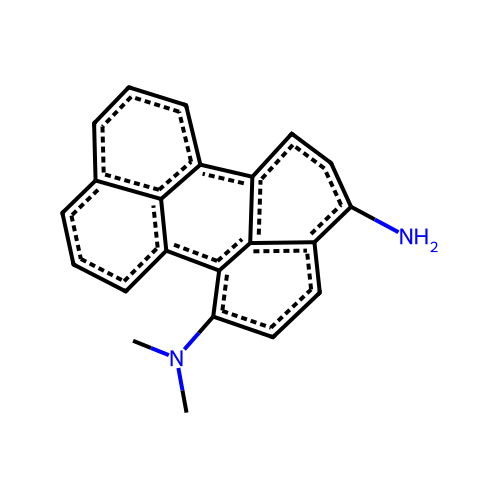 CN(C)c1ccc2c(N)ccc3c4cccc5cccc(c1c23)c54